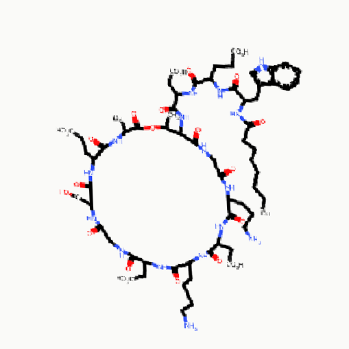 CCC(C)CCCCCCC(=O)NC(Cc1c[nH]c2ccccc12)C(=O)NC(CCC(=O)O)C(=O)NC(CC(=O)O)C(=O)NC1C(=O)NCC(=O)NC(CCCN)C(=O)NC(CC(=O)O)C(=O)NC(CCCCN)C(=O)NC(CC(=O)O)C(=O)NCC(=O)NC(CO)C(=O)NC(CCC(=O)O)C(=O)NC(C(C)CC)C(=O)OC1C